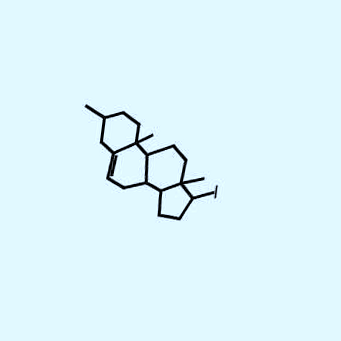 CC1CCC2(C)C(=CCC3C2CCC2(C)C(I)CCC32)C1